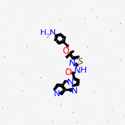 CC(C)(OCc1ccc(N)cc1)c1csc(NC(=O)c2cccn2Cc2ccncc2C#N)n1